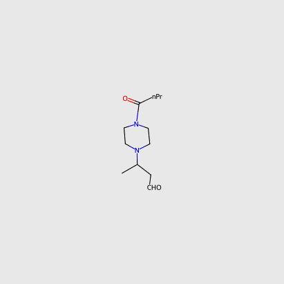 CCCC(=O)N1CCN(C(C)CC=O)CC1